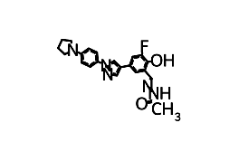 CC(=O)NN=Cc1cc(-c2cnn(-c3ccc(N4CCCC4)cc3)c2)cc(F)c1O